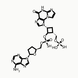 Nc1ncnc2c1ncn2[C@H]1CC[C@@H](COP(=O)(S)OC2[C@@H](COP(=O)(O)S)C[C@H]2n2cnc3c(=O)[nH]c4nccn4c32)O1